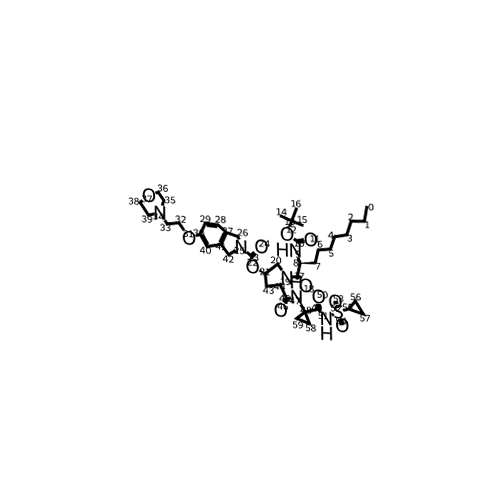 CCCCCCCC[C@H](NC(=O)OC(C)(C)C)C(=O)N1C[C@H](OC(=O)N2Cc3ccc(OCCN4CCOCC4)cc3C2)CC1C(=O)NC1(C(=O)NS(=O)(=O)C2CC2)CC1